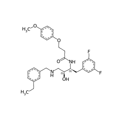 CCc1cccc(CNC[C@H](O)[C@H](Cc2cc(F)cc(F)c2)NC(=O)CCOc2ccc(OC)cc2)c1